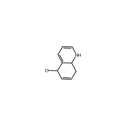 ClC1C=CCC2NC=CC=C12